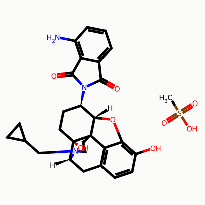 CS(=O)(=O)O.Nc1cccc2c1C(=O)N([C@@H]1CC[C@@]3(O)[C@H]4Cc5ccc(O)c6c5[C@@]3(CCN4CC3CC3)[C@H]1O6)C2=O